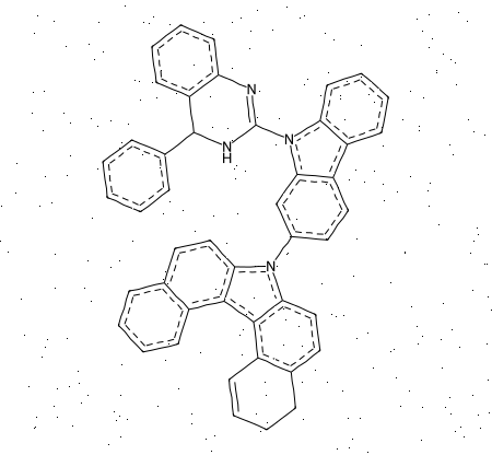 C1=Cc2c(ccc3c2c2c4ccccc4ccc2n3-c2ccc3c4ccccc4n(C4=Nc5ccccc5C(c5ccccc5)N4)c3c2)CC1